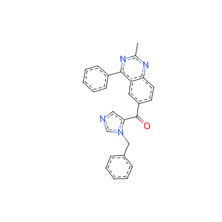 Cc1nc(-c2ccccc2)c2cc(C(=O)c3cncn3Cc3ccccc3)ccc2n1